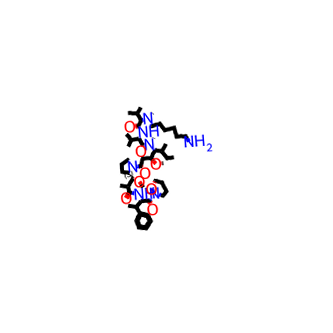 CCC(C)C(C(CC(=O)N1CCC[C@H]1C(OC)C(C)C(=O)NC(C(=O)N1CCCCO1)C(C)c1ccccc1)OC)N(C)C(=O)C(NC(=O)C(C(C)C)N(C)CCCCCCN)C(C)C